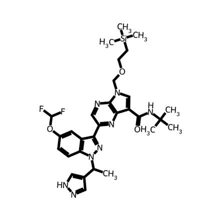 CC(c1cn[nH]c1)n1nc(-c2cnc3c(n2)c(C(=O)NC(C)(C)C)cn3COCC[Si](C)(C)C)c2cc(OC(F)F)ccc21